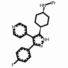 CC(C)N[C@H]1CC[C@@H](c2[nH]nc(-c3ccc(F)cc3)c2-c2ccncc2)CC1